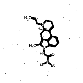 C=CCN1CCC=C2c3cccc4c3c(c(C)n4NC(=O)N(CC)CC)C[C@H]21